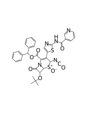 CC(C)(C)OC1C(=O)N2C(C(=O)OC(c3ccccc3)c3ccccc3)=C(c3cnc(NC(=O)c4cccnc4)s3)C(N=C=O)[S+]([O-])C12